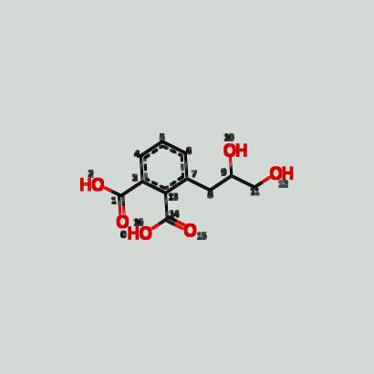 O=C(O)c1cccc(CC(O)CO)c1C(=O)O